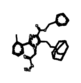 Cc1ccccc1-c1nc(C(=O)OCc2ccccc2)c(CCC23CC4CC(CC(C4)C2)C3)n1CC(=O)OC(C)(C)C